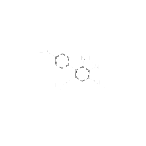 Nc1ccc(-c2ccc(N)c(N)c2N)cc1.O.O